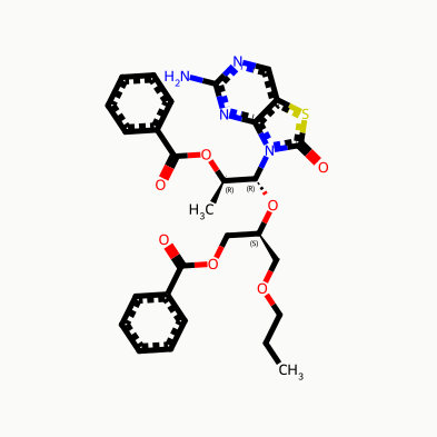 CCCOC[C@@H](COC(=O)c1ccccc1)O[C@H]([C@@H](C)OC(=O)c1ccccc1)n1c(=O)sc2cnc(N)nc21